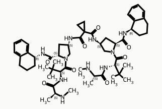 CN[C@@H](C)C(=O)N[C@H](C(=O)N1C[C@@H](NC(=O)C2(C(=O)N[C@H]3C[C@@H](C(=O)N[C@@H]4CCCc5ccccc54)N(C(=O)[C@@H](NC(=O)[C@H](C)NC)C(C)(C)C)C3)CC2)C[C@H]1C(=O)N[C@@H]1CCCc2ccccc21)C(C)(C)C